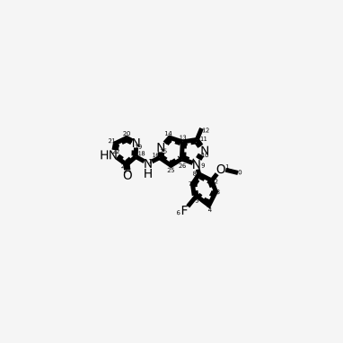 COc1ccc(F)cc1-n1nc(C)c2cnc(Nc3ncc[nH]c3=O)cc21